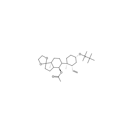 C=C[C@H]1C[C@@H](O[Si](C)(C)C(C)(C)C)CC[C@]1(C)C1CC[C@@]2(C)C(CCC23OCCO3)[C@@H]1OC(C)=O